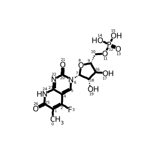 Cc1c(F)c2cn([C@@H]3O[C@H](COP(=O)(O)O)C(O)[C@@H]3O)c(=O)nc2[nH]c1=O